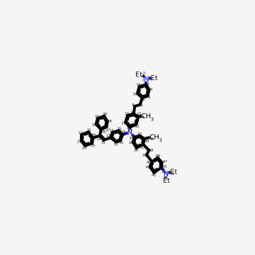 CCN(CC)c1ccc(CCc2ccc(N(c3ccc(C=C(c4ccccc4)c4ccccc4)cc3)c3ccc(CCc4ccc(N(CC)CC)cc4)c(C)c3)cc2C)cc1